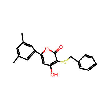 Cc1cc(C)cc(-c2cc(O)c(SCc3ccccc3)c(=O)o2)c1